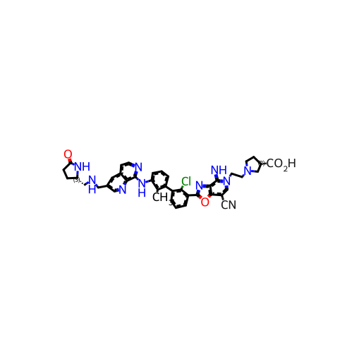 Cc1c(Nc2nccc3cc(CNC[C@@H]4CCC(=O)N4)cnc23)cccc1-c1cccc(-c2nc3c(=N)n(CCN4CC[C@@H](C(=O)O)C4)cc(C#N)c3o2)c1Cl